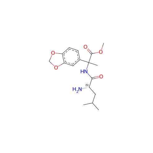 COC(=O)C(C)(NC(=O)[C@@H](N)CC(C)C)c1ccc2c(c1)OCO2